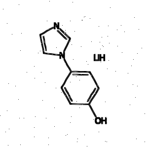 Oc1ccc(-n2ccnc2)cc1.[LiH]